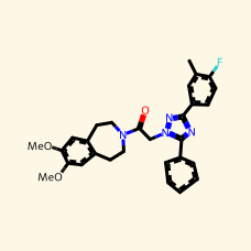 COc1cc2c(cc1OC)CCN(C(=O)Cn1nc(-c3ccc(F)c(C)c3)nc1-c1ccccc1)CC2